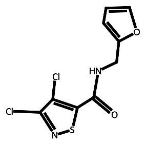 O=C(NCc1ccco1)c1snc(Cl)c1Cl